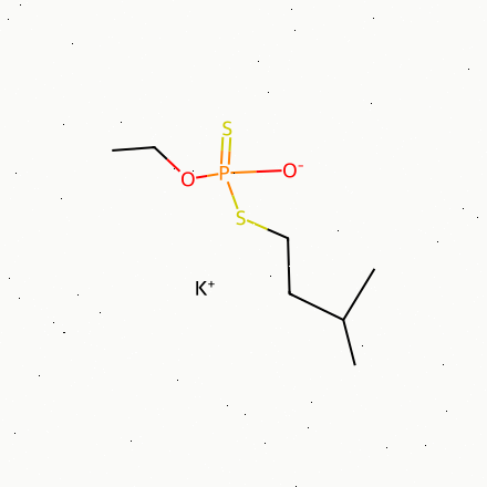 CCOP([O-])(=S)SCCC(C)C.[K+]